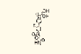 CNC(=O)[C@H]1CN(c2ccc(C3=CCN(C(=O)C(O)CO)CC3)c(F)c2)C(=O)O1